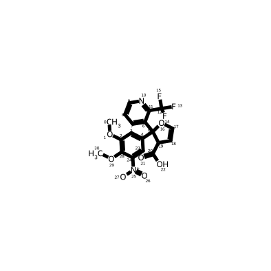 COc1cc(C2(c3cccnc3C(F)(F)F)OC=CC2C(=O)O)cc([N+](=O)[O-])c1OC